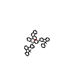 CC1(C)c2ccccc2-c2cccc(-c3cccc(N(c4ccc(-c5ccc6c(c5)C(C)(c5ccccc5)c5ccccc5-6)cc4)c4ccccc4-c4cccc5c4ccc4ccccc45)c3)c21